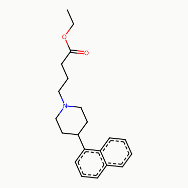 CCOC(=O)CCCN1CCC(c2cccc3ccccc23)CC1